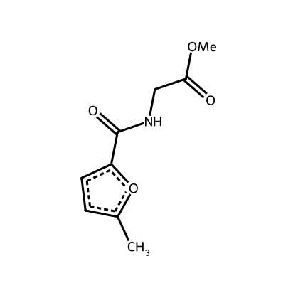 COC(=O)CNC(=O)c1ccc(C)o1